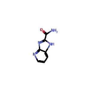 NC(=O)c1nc2ncccc2[nH]1